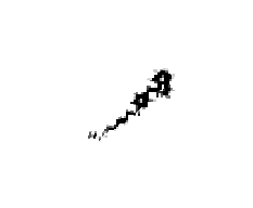 CCCCCCOc1ccc(Cc2nccc3ccccc23)cc1